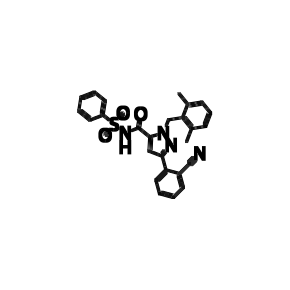 Cc1cccc(C)c1Cn1nc(-c2ccccc2C#N)cc1C(=O)NS(=O)(=O)c1ccccc1